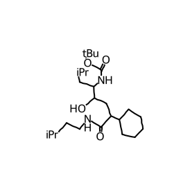 CC(C)CCNC(=O)C(CC(O)C(CC(C)C)NC(=O)OC(C)(C)C)C1CCCCC1